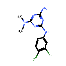 CN(C)c1nc(N)nc(Nc2ccc(Cl)c(Cl)c2)n1